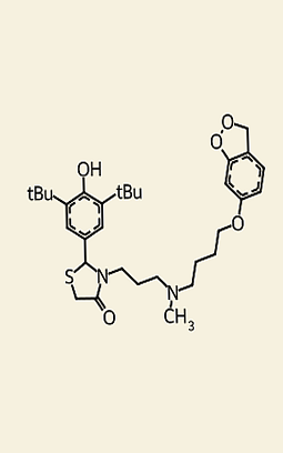 CN(CCCCOc1ccc2c(c1)OOC2)CCCN1C(=O)CSC1c1cc(C(C)(C)C)c(O)c(C(C)(C)C)c1